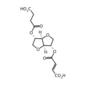 O=C(O)C=CC(=O)O[C@H]1CO[C@H]2[C@@H]1OC[C@@H]2OC(=O)CCC(=O)O